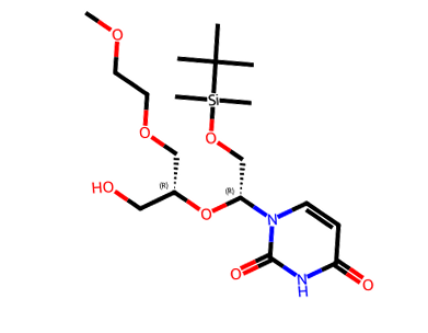 COCCOC[C@@H](CO)O[C@H](CO[Si](C)(C)C(C)(C)C)n1ccc(=O)[nH]c1=O